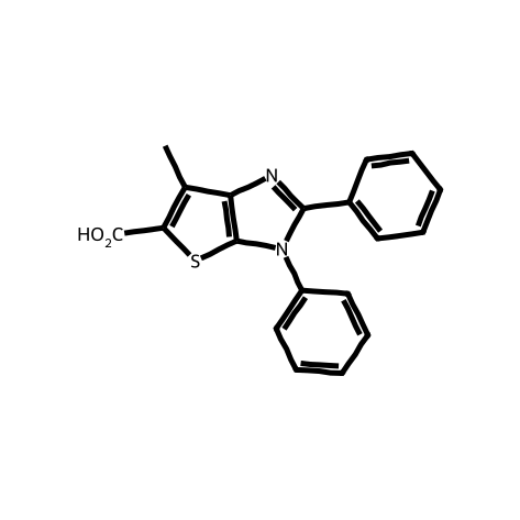 Cc1c(C(=O)O)sc2c1nc(-c1ccccc1)n2-c1ccccc1